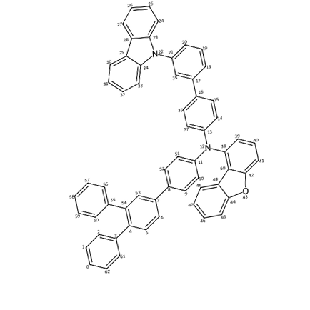 c1ccc(-c2ccc(-c3ccc(N(c4ccc(-c5cccc(-n6c7ccccc7c7ccccc76)c5)cc4)c4cccc5oc6ccccc6c45)cc3)cc2-c2ccccc2)cc1